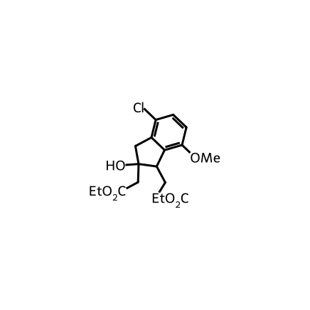 CCOC(=O)CC1c2c(OC)ccc(Cl)c2CC1(O)CC(=O)OCC